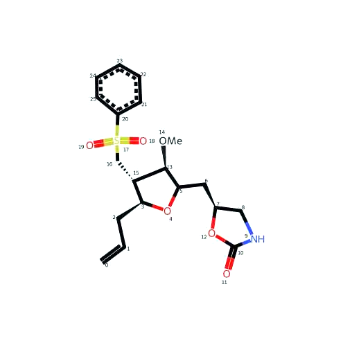 C=CC[C@@H]1OC(C[C@H]2CNC(=O)O2)[C@H](OC)[C@H]1CS(=O)(=O)c1ccccc1